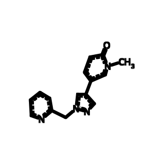 Cn1cc(-c2cnn(Cc3ccccn3)c2)ccc1=O